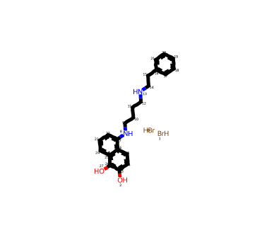 Br.Br.Oc1ccc2c(NCCCCNCCc3ccccc3)cccc2c1O